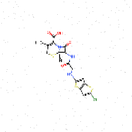 CC1=C(C(=O)O)N2C(=O)C(NC(=O)CNc3cc4sc(Cl)cc4s3)[C@@H]2SC1